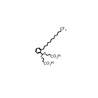 O=C(O)CCSC(SCCC(=O)O)c1ccccc1CCCCCCCCCCCC(F)(F)F